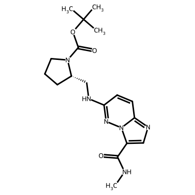 CNC(=O)c1cnc2ccc(NC[C@@H]3CCCN3C(=O)OC(C)(C)C)nn12